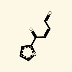 O=C/C=C\C(=O)c1cccs1